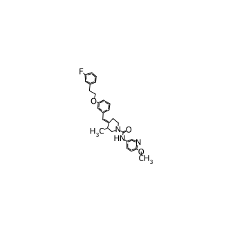 COc1ccc(NC(=O)N2CC/C(=C\c3cccc(OCCc4cccc(F)c4)c3)C(C)C2)cn1